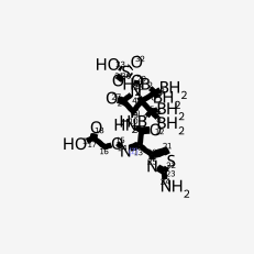 BC(B)(B)C1(C(B)(B)B)[C@H](NC(=O)/C(=N\OCC(=O)O)c2csc(N)n2)C(=O)N1OS(=O)(=O)O